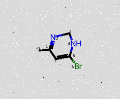 CC1=NCNC(Br)=C1